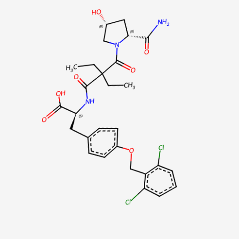 CCC(CC)(C(=O)N[C@@H](Cc1ccc(OCc2c(Cl)cccc2Cl)cc1)C(=O)O)C(=O)N1C[C@H](O)C[C@@H]1C(N)=O